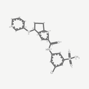 CS(=O)(=O)c1cc(Cl)cc(NC(=O)c2cc3c(s2)CCC3Oc2cccnc2)c1